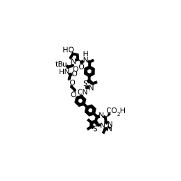 Cc1ncsc1-c1ccc(C(C)NC(=O)[C@@H]2C[C@@H](O)CN2C(=O)C(NC(=O)COCCOc2ccc(-c3ccc(C4=N[C@@H](CC(=O)O)c5nnc(C)n5-c5sc(C)c(C)c54)cc3)cc2C#N)C(C)(C)C)cc1